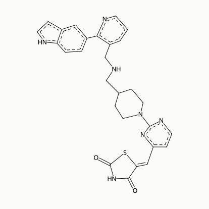 O=C1NC(=O)C(=Cc2ccnc(N3CCC(CNCc4cccnc4-c4ccc5[nH]ccc5c4)CC3)n2)S1